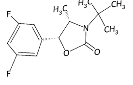 C[C@H]1[C@@H](c2cc(F)cc(F)c2)OC(=O)N1C(C)(C)C